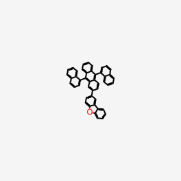 c1ccc2c(-c3c4ccccc4c(-c4cccc5ccccc45)c4cc(-c5ccc6oc7ccccc7c6c5)ccc34)cccc2c1